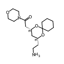 NCC[C@@H]1C[C@H](CC(=O)N2CCOCC2)OC2(CCCCC2)O1